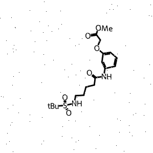 COC(=O)COc1cccc(NC(=O)CCCCNS(=O)(=O)C(C)(C)C)c1